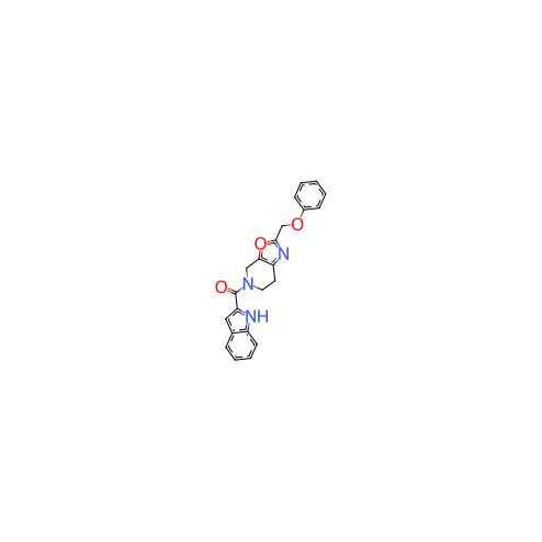 O=C(c1cc2ccccc2[nH]1)N1CCc2nc(COc3ccccc3)oc2C1